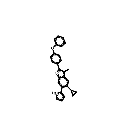 Cc1c(-c2ccc(Oc3ccccc3)cc2)oc2cc(-c3ccc[nH]3)c(C3CC3)cc12